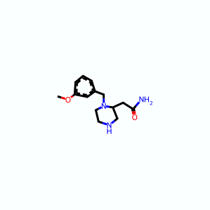 COc1cccc(CN2CCNCC2CC(N)=O)c1